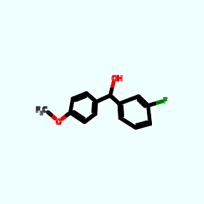 O[C](c1ccc(OC(F)(F)F)cc1)c1cccc(F)c1